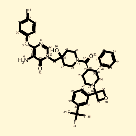 Nc1c(Oc2ccc(F)cc2)ncn(CC2(O)CCN(C(=O)[C@@H]3CCN(C4(c5cccc(C(F)(F)F)c5)COC4)C[C@H]3c3ccccc3)CC2)c1=O